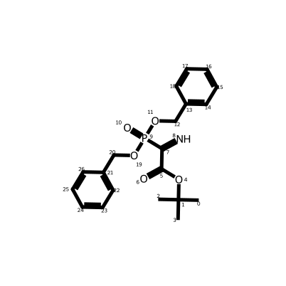 CC(C)(C)OC(=O)C(=N)P(=O)(OCc1ccccc1)OCc1ccccc1